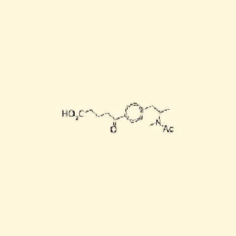 CC(=O)N(C)C(C)Cc1ccc(C(=O)CCCC(=O)O)cc1